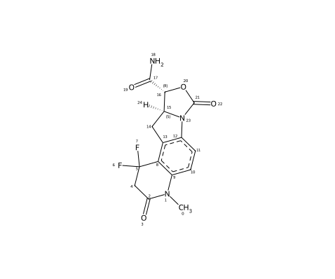 CN1C(=O)CC(F)(F)c2c1ccc1c2C[C@H]2[C@H](C(N)=O)OC(=O)N12